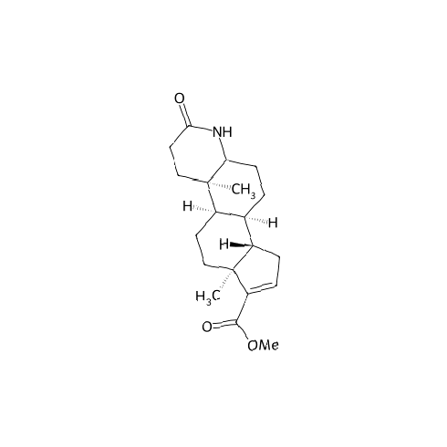 COC(=O)C1=CC[C@H]2[C@@H]3CCC4NC(=O)CC[C@]4(C)[C@@H]3CC[C@]12C